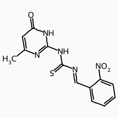 Cc1cc(=O)[nH]c(NC(=S)N=Cc2ccccc2[N+](=O)[O-])n1